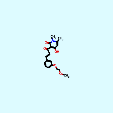 COCCOc1cccc(C=CC(=O)c2c(O)cc(C)n(C)c2=O)c1